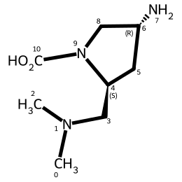 CN(C)C[C@@H]1C[C@@H](N)CN1C(=O)O